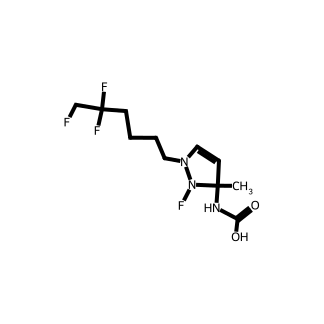 CC1(NC(=O)O)C=CN(CCCCC(F)(F)CF)N1F